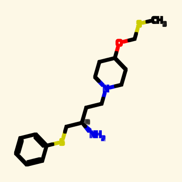 CSCOC1CCN(CC[C@@H](N)CSc2ccccc2)CC1